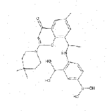 Cc1cc(C(C)Nc2ccc(B(O)O)cc2C(O)O)c2oc(N3CCC(C)(C)CC3)cc(=O)c2c1